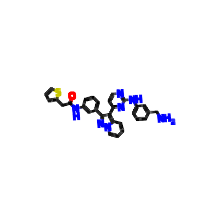 NCc1cccc(Nc2nccc(-c3c(-c4cccc(NC(=O)Cc5cccs5)c4)nn4ccccc34)n2)c1